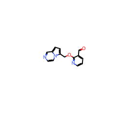 O=Cc1cccnc1OCc1ccc2cnccn12